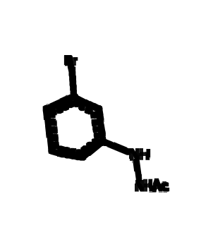 CC(=O)NNc1cccc(Br)c1